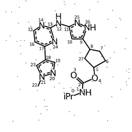 CC(C)NC(=O)OC1CCC(c2cc(Nc3nccc(-c4cnn(C)c4)n3)n[nH]2)C1